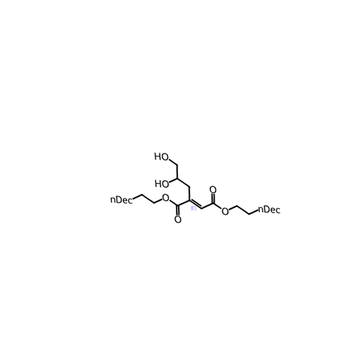 CCCCCCCCCCCCOC(=O)/C=C(\CC(O)CO)C(=O)OCCCCCCCCCCCC